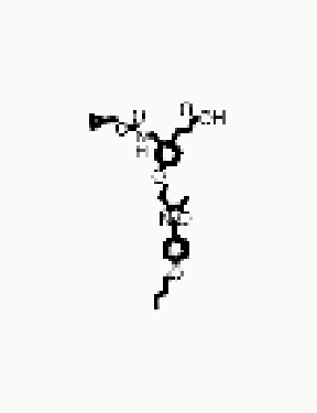 CCCCOc1ccc(-c2nc(CCOc3ccc(CCC(=O)O)c(CNC(=O)OCC4CC4)c3)c(C)o2)cc1